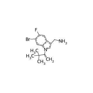 C=C(n1cc(CN)c2cc(F)c(Br)cc21)C(C)(C)C